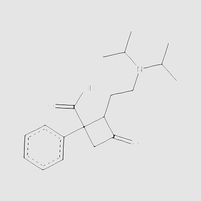 CC(C)N(CCC1C(=O)CC1(C(=O)O)c1ccccc1)C(C)C